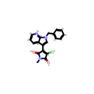 CN1C(=O)C(Cl)=C(c2cn(Cc3ccccc3)c3ncccc23)C1=O